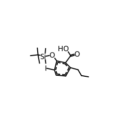 CCCc1ccc(I)c(O[Si](C)(C)C(C)(C)C)c1C(=O)O